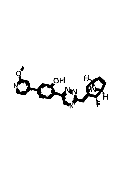 COc1cc(-c2ccc(-c3cnc(/C=C4\C[C@H]5C=C[C@H](N5)[C@@H]4F)nn3)c(O)c2)ccn1